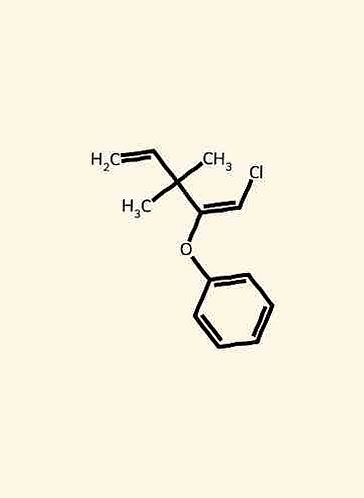 C=CC(C)(C)C(=CCl)Oc1ccccc1